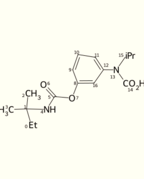 CCC(C)(C)NC(=O)Oc1cccc(N(C(=O)O)C(C)C)c1